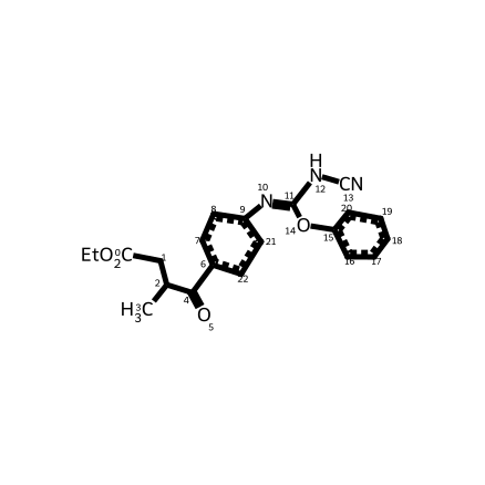 CCOC(=O)CC(C)C(=O)c1ccc(N=C(NC#N)Oc2ccccc2)cc1